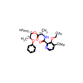 CCCCC[C@H](OC(=O)[C@H](C)NC(=O)c1nccc(OC)c1OCOC(C)=O)[C@@H](C)Oc1ccccc1